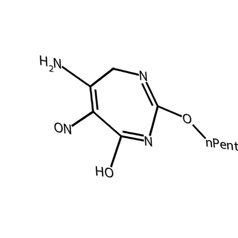 CCCCCOC1=NCC(N)=C(N=O)C(O)=N1